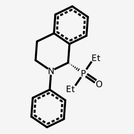 CCP(=O)(CC)[C@H]1c2ccccc2CCN1c1ccccc1